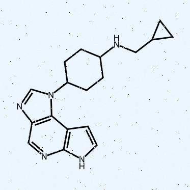 c1cc2c(ncc3ncn(C4CCC(NCC5CC5)CC4)c32)[nH]1